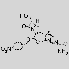 Cc1c(C2=C(C(=O)OCc3ccc([N+](=O)[O-])cc3)N3C(=O)[C@H]([C@@H](C)O)[C@H]3C2)sc2cn(C(N)=O)c[n+]12